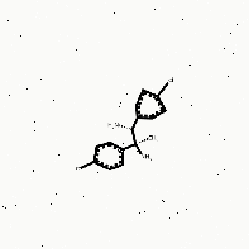 C[C@](N)(c1ccc(Cl)cc1)[C@H](N)c1ccc(Cl)cc1